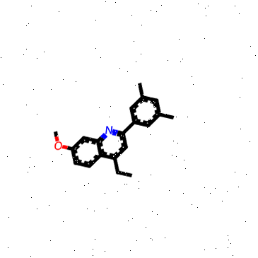 CCc1cc(-c2cc(C)cc(C)c2)nc2cc(OC)ccc12